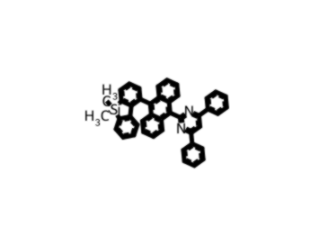 C[Si]1(C)c2ccccc2-c2c(-c3c4ccccc4c(-c4nc(-c5ccccc5)cc(-c5ccccc5)n4)c4ccccc34)cccc21